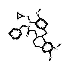 COc1cc2c(cc1OC)C(Cc1ccc(OC)c(OCC3CC3)c1)N(CC(=O)NCc1ccccc1)CC2